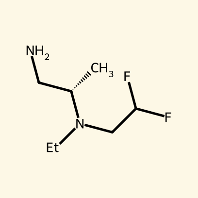 CCN(CC(F)F)[C@@H](C)CN